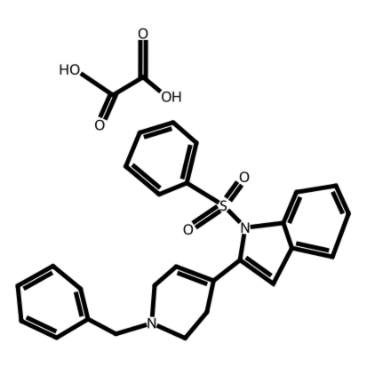 O=C(O)C(=O)O.O=S(=O)(c1ccccc1)n1c(C2=CCN(Cc3ccccc3)CC2)cc2ccccc21